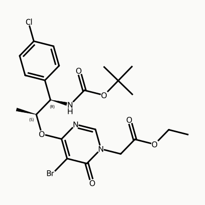 CCOC(=O)Cn1cnc(O[C@@H](C)[C@H](NC(=O)OC(C)(C)C)c2ccc(Cl)cc2)c(Br)c1=O